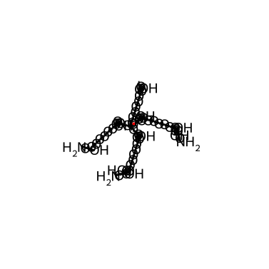 NCOCCC(CO)OCCOCCOCCOCCOCCOCCOP(=O)(O)OCCCOCC(COCCCOP(=O)(O)OCCOCCOCCOCCOCCOCCOP(=O)(O)OC(CO)CCOCN)(COCCCOP(=O)(O)OCCOCCOCCOCCOCCOCCOP(=O)(O)OC(CO)CCOCN)COCCOCCOCCOCCOCCOCCOP(=O)(O)OI